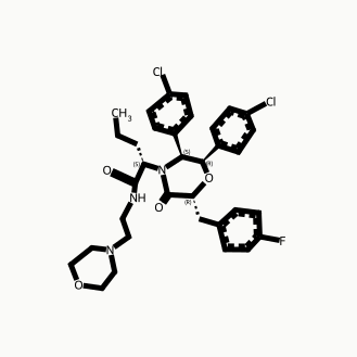 CCC[C@@H](C(=O)NCCN1CCOCC1)N1C(=O)[C@@H](Cc2ccc(F)cc2)O[C@H](c2ccc(Cl)cc2)[C@@H]1c1ccc(Cl)cc1